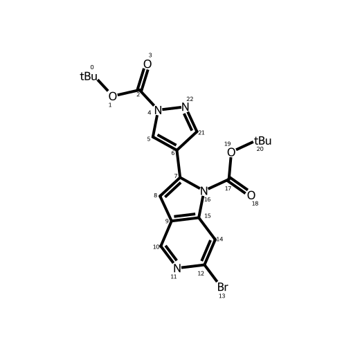 CC(C)(C)OC(=O)n1cc(-c2cc3cnc(Br)cc3n2C(=O)OC(C)(C)C)cn1